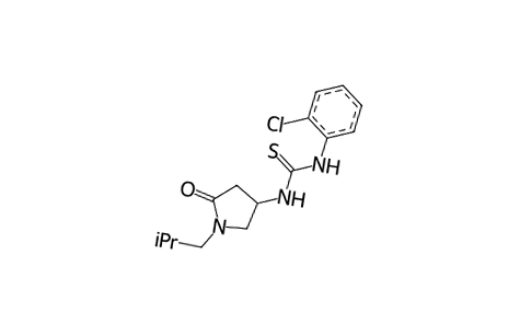 CC(C)CN1CC(NC(=S)Nc2ccccc2Cl)CC1=O